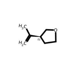 C=C(C)[C@@H]1CCOC1